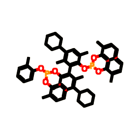 Cc1ccccc1OP(Oc1ccccc1C)Oc1c(C)cc(C2CCCCC2)c(C)c1-c1c(C)c(C2CCCCC2)cc(C)c1OP(Oc1ccccc1C)Oc1ccccc1C